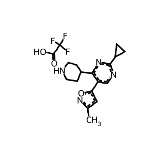 Cc1cc(-c2cnc(C3CC3)nc2C2CCNCC2)on1.O=C(O)C(F)(F)F